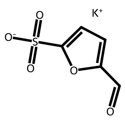 O=Cc1ccc(S(=O)(=O)[O-])o1.[K+]